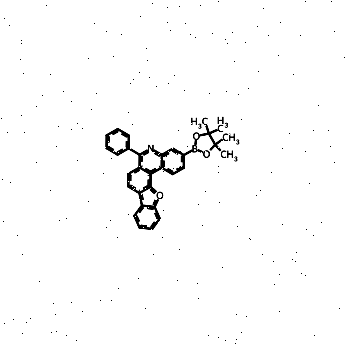 CC1(C)OB(c2ccc3c(c2)nc(-c2ccccc2)c2ccc4c5ccccc5oc4c23)OC1(C)C